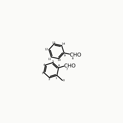 Cc1ccccc1C=O.O=Cc1ccccc1